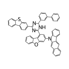 c1ccc(-c2cccc(C3N=C(c4ccc5c(c4)sc4ccccc45)N=C(c4cc(-n5c6ccccc6c6cc7ccccc7cc65)cc5oc6ccccc6c45)N3)c2)cc1